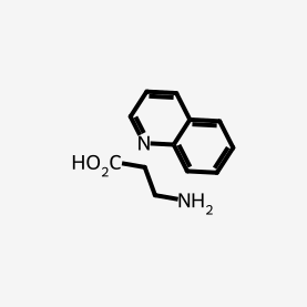 NCCC(=O)O.c1ccc2ncccc2c1